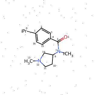 CC(C)c1ccc(C(=O)N(C)C2CCN(C)C2)cc1